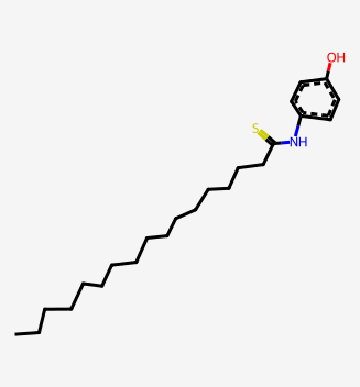 CCCCCCCCCCCCCCCCC(=S)Nc1ccc(O)cc1